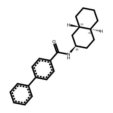 O=C(N[C@@H]1CC[C@@H]2CCCC[C@H]2C1)c1ccc(-c2ccccc2)cc1